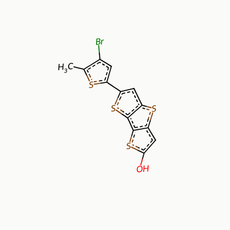 Cc1sc(-c2cc3sc4cc(O)sc4c3s2)cc1Br